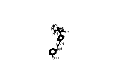 CCc1sc2ncnc(N)c2c1-c1ccc(NC(=O)Nc2cccc(C(C)(C)C)c2)cc1